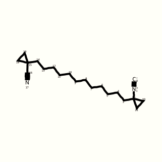 [C-]#[N+]C1(CCCCCCCCCCCCC2(C#N)CC2)CC1